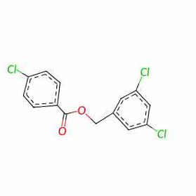 O=C(OCc1cc(Cl)cc(Cl)c1)c1ccc(Cl)cc1